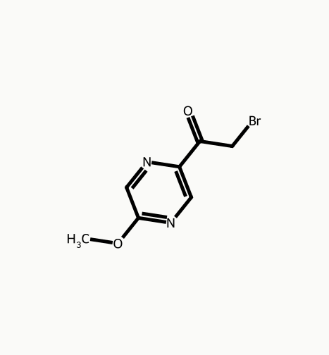 COc1cnc(C(=O)CBr)cn1